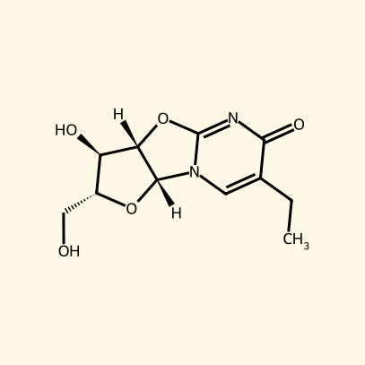 CCc1cn2c(nc1=O)O[C@H]1[C@H](O)[C@@H](CO)O[C@H]12